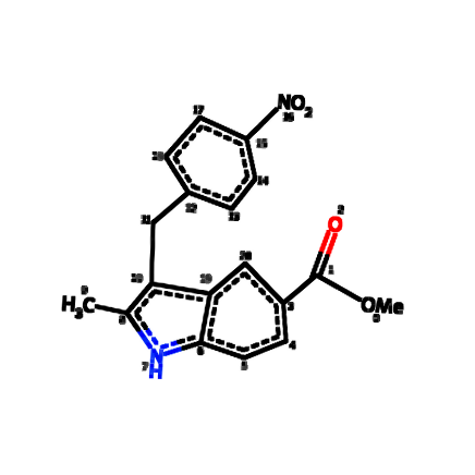 COC(=O)c1ccc2[nH]c(C)c(Cc3ccc([N+](=O)[O-])cc3)c2c1